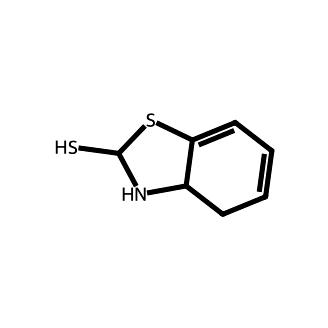 SC1NC2CC=CC=C2S1